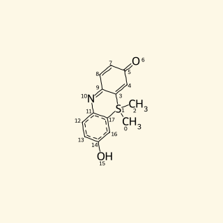 CS1(C)C2=CC(=O)C=CC2=Nc2ccc(O)cc21